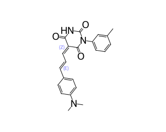 Cc1cccc(N2C(=O)NC(=O)/C(=C/C=C/c3ccc(N(C)C)cc3)C2=O)c1